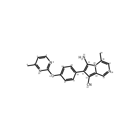 Cc1ccnc(Oc2ccc(-c3c(C#N)c4cncc(C)n4c3N)cc2)n1